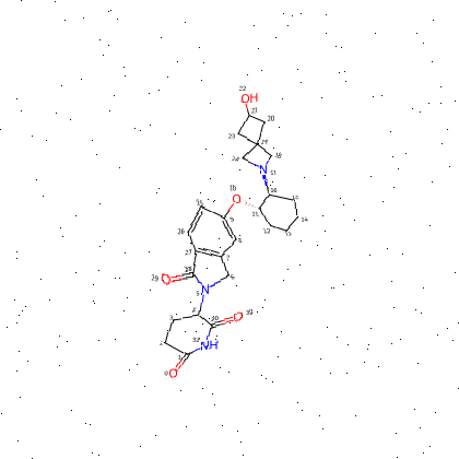 O=C1CCC(N2Cc3cc(O[C@H]4CCCC[C@@H]4N4CC5(CC(O)C5)C4)ccc3C2=O)C(=O)N1